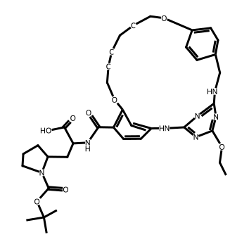 CCOc1nc2nc(n1)Nc1ccc(C(=O)NC(CC3CCCN3C(=O)OC(C)(C)C)C(=O)O)c(c1)OCCCCCCOc1ccc(cc1)CN2